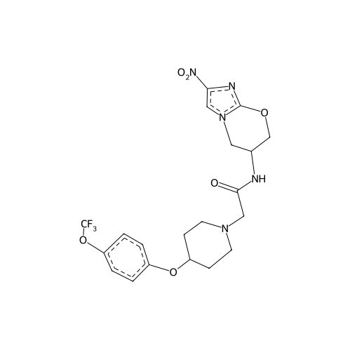 O=C(CN1CCC(Oc2ccc(OC(F)(F)F)cc2)CC1)NC1COc2nc([N+](=O)[O-])cn2C1